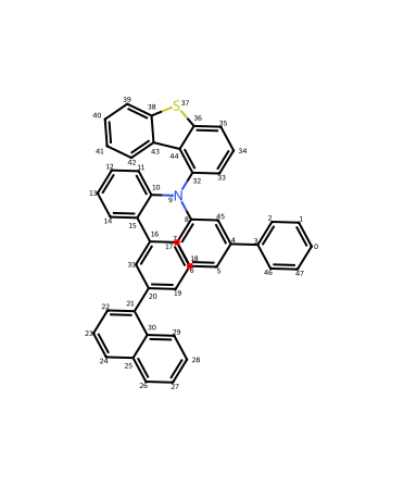 c1ccc(-c2cccc(N(c3ccccc3-c3cccc(-c4cccc5ccccc45)c3)c3cccc4sc5ccccc5c34)c2)cc1